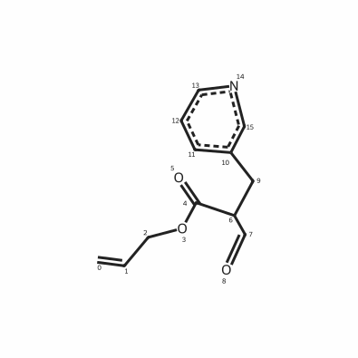 C=CCOC(=O)C(C=O)Cc1cccnc1